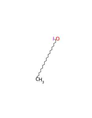 CCCCCCCCCCCCCCCCCCCCCC(=O)I